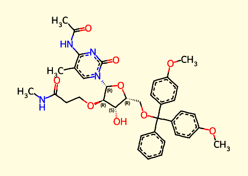 CNC(=O)CCO[C@@H]1[C@@H](O)[C@@H](COC(c2ccccc2)(c2ccc(OC)cc2)c2ccc(OC)cc2)O[C@H]1n1cc(C)c(NC(C)=O)nc1=O